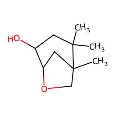 CC1(C)CC(O)C2CC1(C)CO2